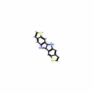 c1cc2cc3c(cc2s1)C1Nc2cc4ccsc4cc2C1N3